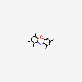 CC1=C(C)C2=Nc3c(C)cc(C)cc3OC2=C(C)C1